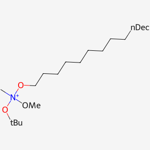 CCCCCCCCCCCCCCCCCCCO[N+](C)(OC)OC(C)(C)C